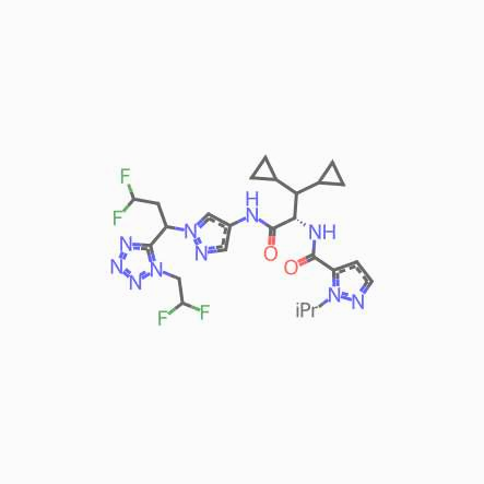 CC(C)n1nccc1C(=O)N[C@H](C(=O)Nc1cnn(C(CC(F)F)c2nnnn2CC(F)F)c1)C(C1CC1)C1CC1